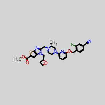 COC(=O)c1cc2c(nc(CN3CCN(c4cccc(OCc5ccc(C#N)cc5F)n4)C[C@@H]3C)n2CC2CCO2)s1